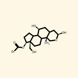 CCC(=O)O[C@H]1CCC2C3C(CC[C@@]21CO)[C@@]1(C)CO[C@H](O)CC1C[C@@H]3O